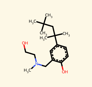 CN(CCO)Cc1cc(C(C)(C)CC(C)(C)C)ccc1O